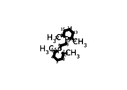 C[C@H]1CCC[C@H](C)P1CCP1[C@@H](C)CCC[C@@H]1C